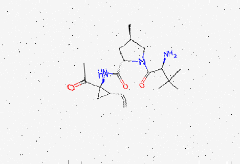 C=C[C@@H]1C[C@]1(NC(=O)[C@@H]1C[C@@H](C)CN1C(=O)[C@@H](N)C(C)(C)C)C(C)=O